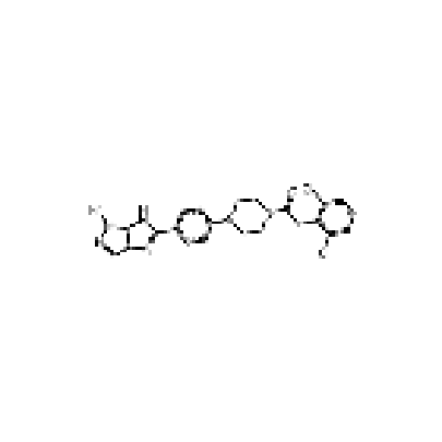 CC(C)N1N=CC2N=C(c3ccc(N4CCN(C(=O)Cc5c(Cl)cccc5Cl)CC4)cc3)NC21